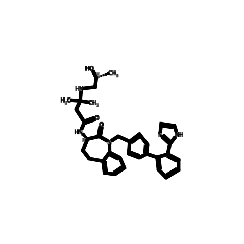 C[C@@H](O)CNC(C)(C)CC(=O)N[C@@H]1CCc2ccccc2N(Cc2ccc(-c3ccccc3-c3ncc[nH]3)cc2)C1=O